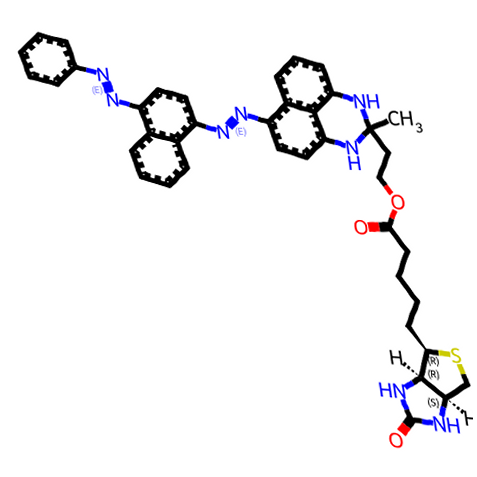 CC1(CCOC(=O)CCCC[C@H]2SC[C@H]3NC(=O)N[C@H]32)Nc2cccc3c(/N=N/c4ccc(/N=N/c5ccccc5)c5ccccc45)ccc(c23)N1